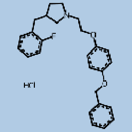 Cl.Fc1ccccc1CC1CCN(CCOc2ccc(OCc3ccccc3)cc2)C1